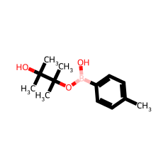 Cc1ccc(B(O)OC(C)(C)C(C)(C)O)cc1